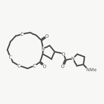 CNC1CCN(C(=O)OC2CC3C(=O)CCCCCCCCCCCC(=O)N3C2)C1